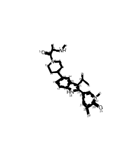 CNC(C)C(=O)N1CCC(c2ccc3[nH]c(-c4cc(C)c(=O)n(C)c4)c(C(C)C)c3c2)CC1